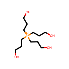 OCCC[PH](CCCO)(CCCO)CCCO